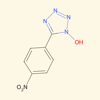 O=[N+]([O-])c1ccc(-c2nnnn2O)cc1